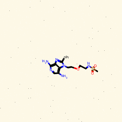 CCCc1nc2c(N)ncc(N)c2n1CCOCCNS(C)(=O)=O